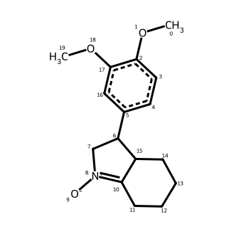 COc1ccc(C2C[N+]([O-])=C3CCCCC32)cc1OC